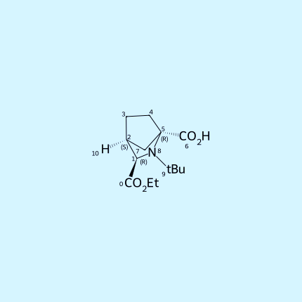 CCOC(=O)[C@H]1[C@H]2CC[C@](C(=O)O)(C2)N1C(C)(C)C